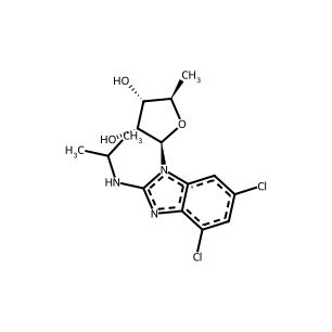 CC(C)Nc1nc2c(Cl)cc(Cl)cc2n1[C@@H]1O[C@H](C)[C@@H](O)[C@H]1O